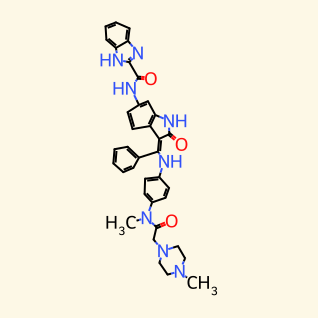 CN1CCN(CC(=O)N(C)c2ccc(N/C(=C3\C(=O)Nc4cc(NC(=O)c5nc6ccccc6[nH]5)ccc43)c3ccccc3)cc2)CC1